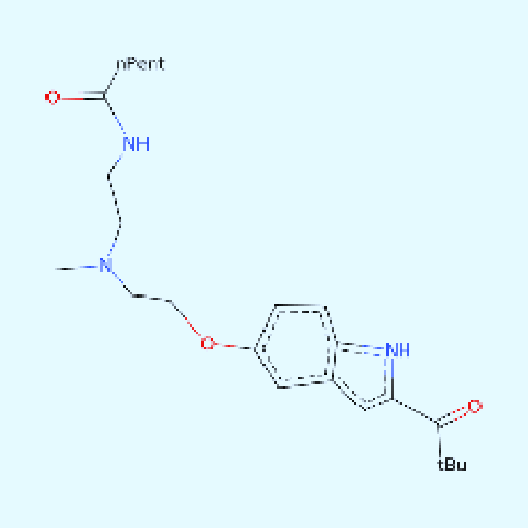 CCCCCC(=O)NCCN(C)CCOc1ccc2[nH]c(C(=O)C(C)(C)C)cc2c1